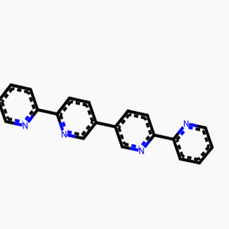 c1ccc(-c2ccc(-c3ccc(-c4ccccn4)nc3)cn2)nc1